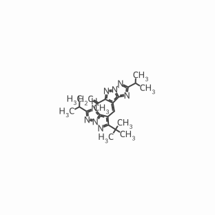 C=C(C)c1nn2nc(C(C)C)nc2c1=Cc1c(C(C)(C)C)nn2nc(C(C)C)[nH]c12